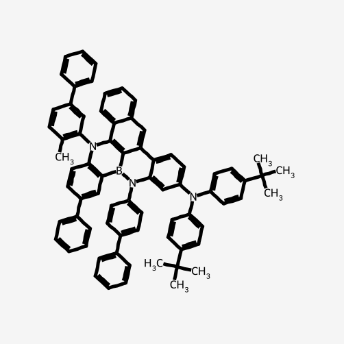 Cc1ccc(-c2ccccc2)cc1N1c2ccc(-c3ccccc3)cc2B2c3c(cc4ccccc4c31)-c1ccc(N(c3ccc(C(C)(C)C)cc3)c3ccc(C(C)(C)C)cc3)cc1N2c1ccc(-c2ccccc2)cc1